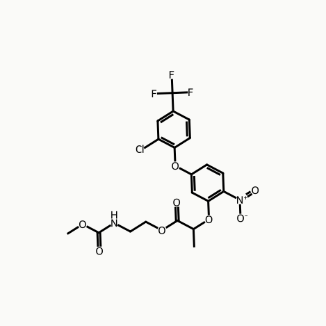 COC(=O)NCCOC(=O)C(C)Oc1cc(Oc2ccc(C(F)(F)F)cc2Cl)ccc1[N+](=O)[O-]